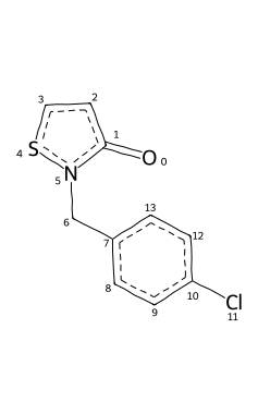 O=c1ccsn1Cc1ccc(Cl)cc1